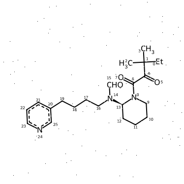 CCC(C)(C)C(=O)C(=O)N1CCCC[C@H]1N(C=O)CCCCc1cccnc1